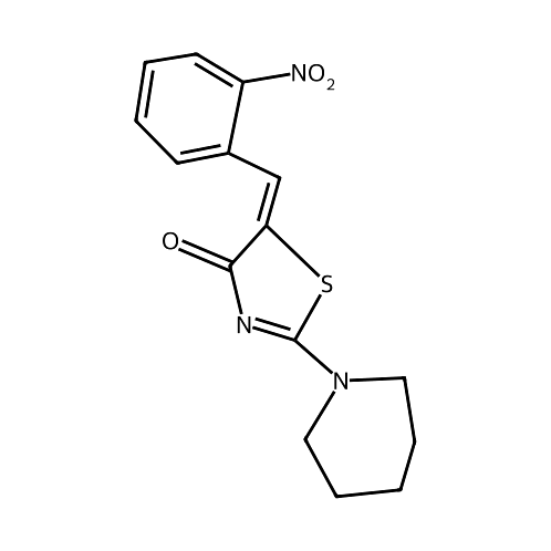 O=C1N=C(N2CCCCC2)S/C1=C/c1ccccc1[N+](=O)[O-]